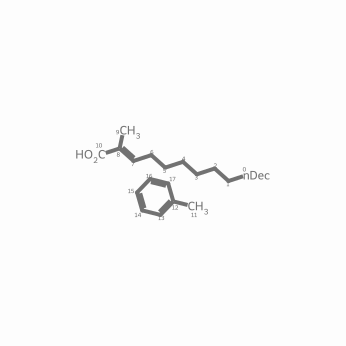 CCCCCCCCCCCCCCCCC=C(C)C(=O)O.Cc1ccccc1